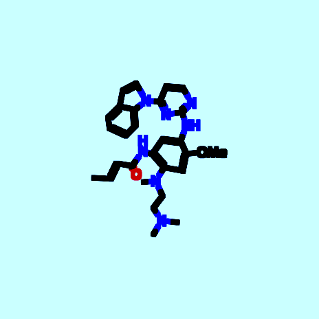 C/C=C/C(=O)Nc1cc(Nc2nccc(-n3ccc4ccccc43)n2)c(OC)cc1N(C)CCN(C)C